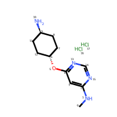 CNc1cc(O[C@H]2CC[C@H](N)CC2)ncn1.Cl.Cl